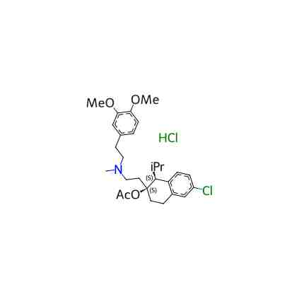 COc1ccc(CCN(C)CC[C@@]2(OC(C)=O)CCc3cc(Cl)ccc3[C@@H]2C(C)C)cc1OC.Cl